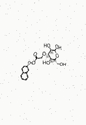 O=C(CO[C@H]1[C@H](O)[C@@H](CO)OC(O)[C@@H]1O)OOc1ccc2ccccc2c1